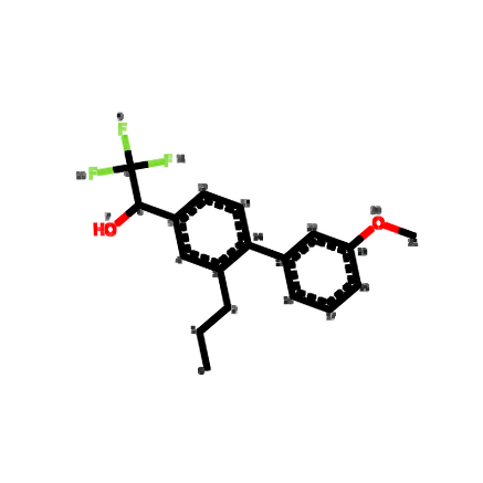 CCCc1cc(C(O)C(F)(F)F)ccc1-c1cccc(OC)c1